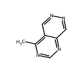 Cc1ncnc2cnncc12